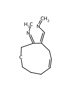 C=N/C=C1/C/C=C\CCCCC/C1=N/C